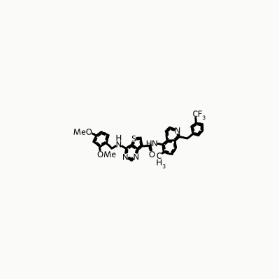 COc1ccc(CNc2ncnc3c(C(=O)Nc4c(C)ccc5c(Cc6cccc(C(F)(F)F)c6)nccc45)csc23)c(OC)c1